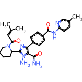 CC(C)=CC(=O)N1CCCCC1c1nc(-c2ccc(C(=O)Nc3ccc(C)cn3)cc2)c(C(N)=O)n1N